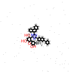 Bc1cc(O)c2oc3c(O)cc(O)c(-c4nc(-c5ccc6cc(-c7ccccc7)ccc6c5)nc(-c5cc6ccccc6c6ccccc56)n4)c3c2c1